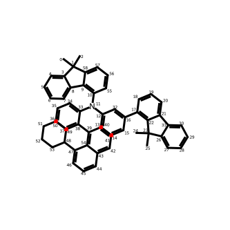 CC1(C)c2ccccc2-c2c(N(c3cccc(-c4cccc5c4C(C)(C)c4ccccc4-5)c3)c3ccccc3-c3cccc4cccc(C5CCCCC5)c34)cccc21